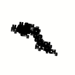 Cc1ccc(C(C)(C)c2ccc(OC(=O)Oc3ccccc3CCC[Si](C)(O[Si](C)(C)C)O[Si](C)(C)O[Si](C)(C)C)cc2)cc1